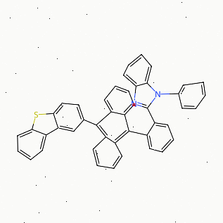 c1ccc(-n2c(-c3ccccc3-c3c4ccccc4c(-c4ccc5sc6ccccc6c5c4)c4ccccc34)nc3ccccc32)cc1